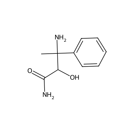 CC(N)(c1ccccc1)C(O)C(N)=O